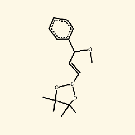 COC(/C=C/B1OC(C)(C)C(C)(C)O1)c1ccccc1